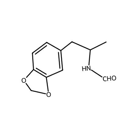 CC(Cc1ccc2c(c1)OCO2)NC=O